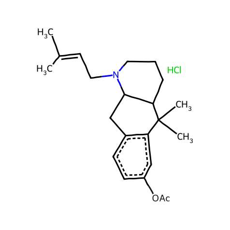 CC(=O)Oc1ccc2c(c1)C(C)(C)C1CCCN(CC=C(C)C)C1C2.Cl